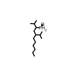 CCCCCCC(CC([PH2]=O)C(C)C)C(C)C